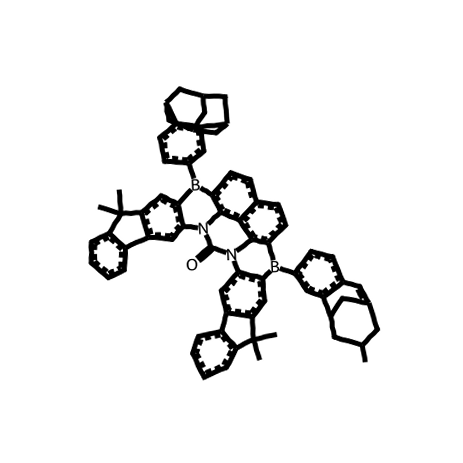 CC1CC2=Cc3ccc(B4c5cc6c(cc5N5C(=O)N7c8cc9c(cc8B(c8ccc%10c(c8)C8CC%11CC(CC%10C%11)C8)c8ccc%10ccc4c5c%10c87)C(C)(C)c4ccccc4-9)-c4ccccc4C6(C)C)cc3C(C2)C1